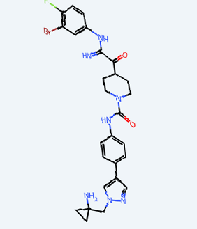 N=C(Nc1ccc(F)c(Br)c1)C(=O)C1CCN(C(=O)Nc2ccc(-c3cnn(CC4(N)CC4)c3)cc2)CC1